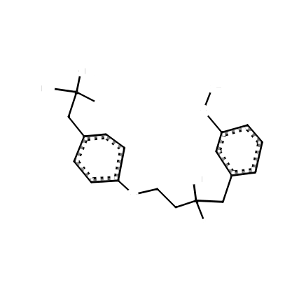 COc1cccc(CC(C)(C)CCOc2ccc(CC(C)(C)C)cc2)c1